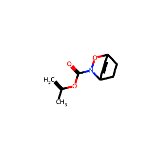 C=C(C)OC(=O)N1OC2C=CC1CC2